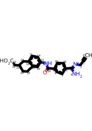 C#CCN=C(N)c1ccc(C(=O)Nc2ccc3c(c2)CCC(CC(=O)O)C3)cc1